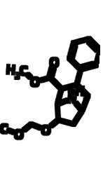 COCOC1CC2CC(c3ccccc3)C(C(=O)OC)C1N2C